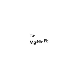 [Mg].[Nb].[Pb].[Ta]